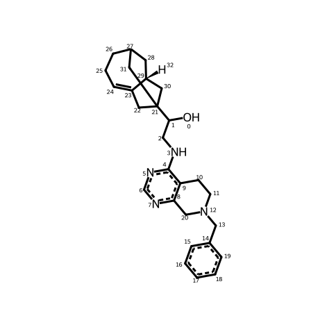 OC(CNc1ncnc2c1CCN(Cc1ccccc1)C2)C12CC3=CCCC(C[C@@H]3C1)C2